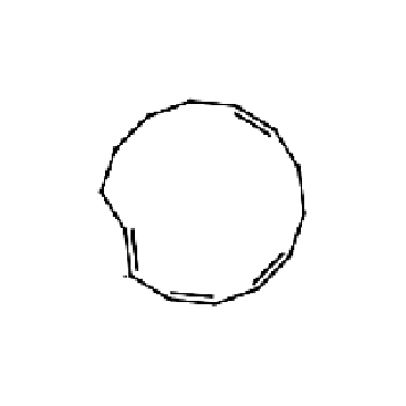 [C]1=C\CCCC/C=C\CC\C=C/C=C\1